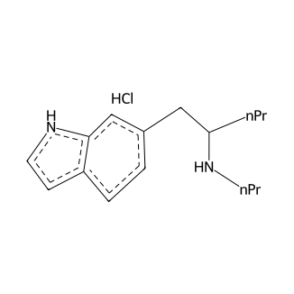 CCCNC(CCC)Cc1ccc2cc[nH]c2c1.Cl